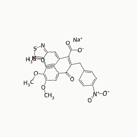 COc1cc(C(=O)/C(Cc2ccc([N+](=O)[O-])cc2)=C(/C(=O)[O-])c2ccc3nsnc3c2)cc(OC)c1OC.[Na+]